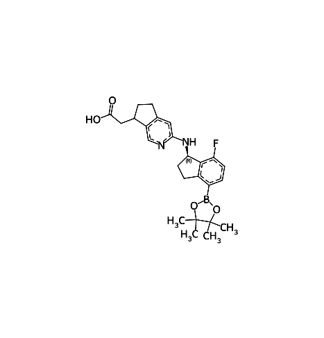 CC1(C)OB(c2ccc(F)c3c2CC[C@H]3Nc2cc3c(cn2)C(CC(=O)O)CC3)OC1(C)C